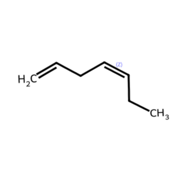 C=CC/C=C\CC